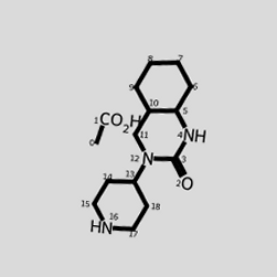 CC(=O)O.O=C1NC2CCCCC2CN1C1CCNCC1